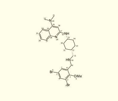 COc1c(Br)cc(Br)cc1CNC[C@H]1CC[C@@H](Nc2cc(N(C)C)c3ccccc3n2)CC1